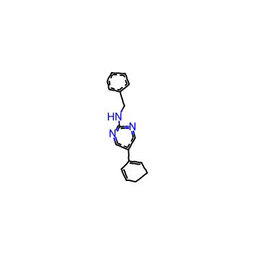 C1=CC(c2cnc(NCc3ccccc3)nc2)=CCC1